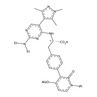 CCN(CC)c1ncc(-c2c(C)nn(C)c2C)c(N[C@@H](Cc2ccc(-c3c(OC)ccn(C(C)C)c3=O)cc2)C(=O)O)n1